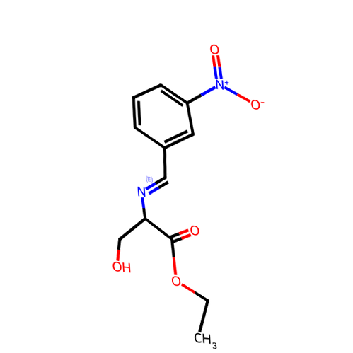 CCOC(=O)C(CO)/N=C/c1cccc([N+](=O)[O-])c1